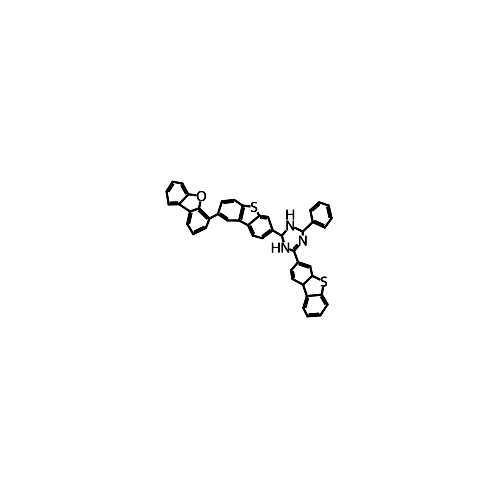 C1=CC2c3ccccc3SC2C=C1C1=NC(c2ccccc2)NC(c2ccc3c(c2)sc2ccc(-c4cccc5c4oc4ccccc45)cc23)N1